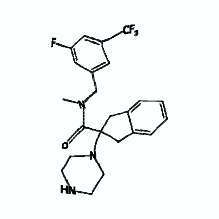 CN(Cc1cc(F)cc(C(F)(F)F)c1)C(=O)C1(N2CCNCC2)Cc2ccccc2C1